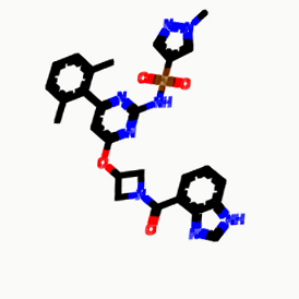 Cc1cccc(C)c1-c1cc(OC2CN(C(=O)c3cccc4[nH]cnc34)C2)nc(NS(=O)(=O)c2cnn(C)c2)n1